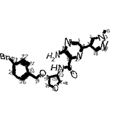 Cn1cc(-c2cnc(N)c(C(=O)N[C@H]3COC[C@@H]3OCc3ccc(Br)cc3)n2)cn1